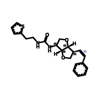 O=C(NCCc1cccs1)N[C@H]1CO[C@H]2[C@@H]1OC[C@@H]2/C=C\c1ccccc1